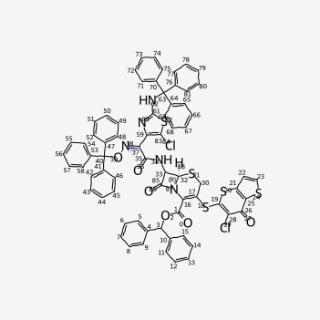 O=C(OC(c1ccccc1)c1ccccc1)C1=C(Sc2sc3ccsc3c(=O)c2Cl)CS[C@@H]2C(NC(=O)/C(=N\OC(c3ccccc3)(c3ccccc3)c3ccccc3)c3nc(NC(c4ccccc4)(c4ccccc4)c4ccccc4)sc3Cl)C(=O)N12